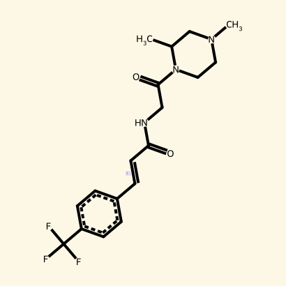 CC1CN(C)CCN1C(=O)CNC(=O)/C=C/c1ccc(C(F)(F)F)cc1